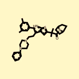 Cc1cc(C)cc(-c2[nH]c3sc(C(C)(C)C(=O)N4C5CCC4CC5)cc3c2CCN2CCN(c3ccccc3)CC2)c1